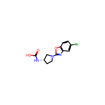 O=C(O)N[C@H]1CCN(c2nc3cc(Br)ccc3o2)C1